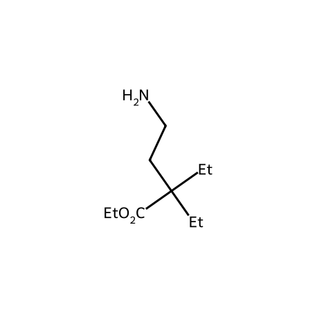 CCOC(=O)C(CC)(CC)CCN